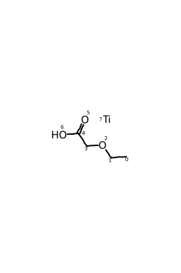 CCOCC(=O)O.[Ti]